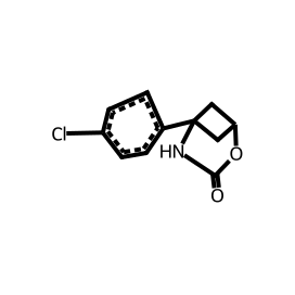 O=C1NC2(c3ccc(Cl)cc3)CC(C2)O1